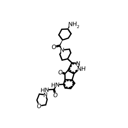 N[C@H]1CC[C@@H](C(=O)N2CCC(c3n[nH]c4c3C(=O)c3c(NC(=O)NN5CCOCC5)cccc3-4)CC2)CC1